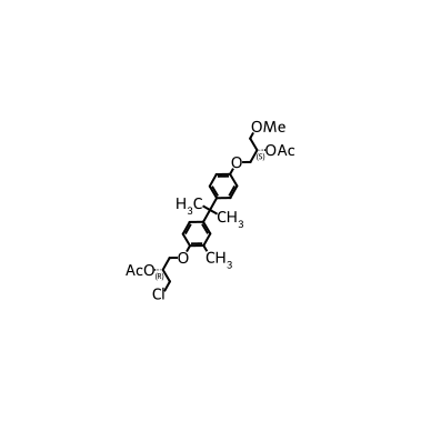 COC[C@@H](COc1ccc(C(C)(C)c2ccc(OC[C@H](CCl)OC(C)=O)c(C)c2)cc1)OC(C)=O